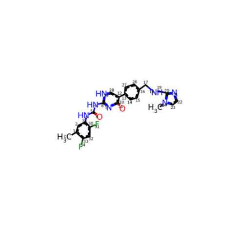 Cc1cc(NC(=O)Nc2nc(=O)c(-c3ccc(CNCc4nccn4C)cc3)c[nH]2)c(F)cc1F